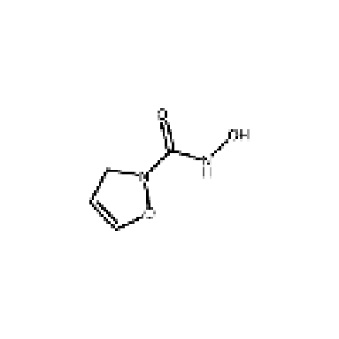 O=C(NO)N1CC=CO1